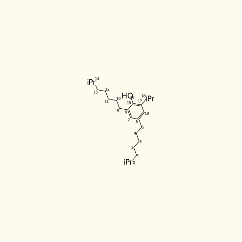 CC(C)CCCCCc1cc(CCCCCC(C)C)c(O)c(C(C)C)c1